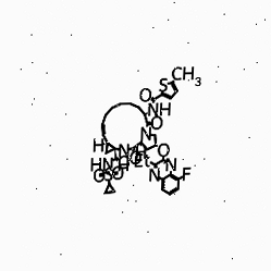 CCc1nc2cccc(F)c2nc1O[C@@H]1C[C@H]2C(=O)N[C@]3(C(=O)NS(=O)(=O)C4CC4)C[C@H]3/C=C\CCCCC[C@H](NC(=O)c3ccc(C)s3)C(=O)N2C1